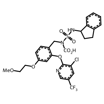 COCCOc1ccc(CN(C(=O)O)S(=O)(=O)NC2CCc3ccccc32)c(Oc2ncc(C(F)(F)F)cc2Cl)c1